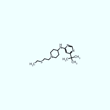 CCSCCN1CCC(Nc2cc(C(C)(C)C)ncn2)CC1